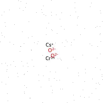 [Cr+3].[Cs+].[O-2].[O-2]